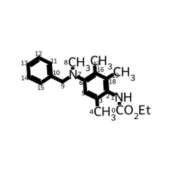 CCOC(=O)Nc1c(C)cc(N(C)Cc2ccccc2)c(C)c1C